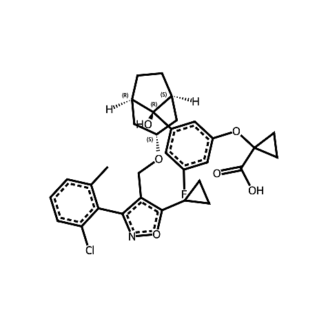 Cc1cccc(Cl)c1-c1noc(C2CC2)c1CO[C@@H]1C[C@H]2CC[C@@H](C1)[C@]2(O)c1cc(F)cc(OC2(C(=O)O)CC2)c1